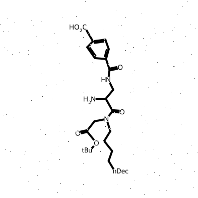 CCCCCCCCCCCCCCN(CC(=O)OC(C)(C)C)C(=O)C(N)CNC(=O)c1ccc(C(=O)O)cc1